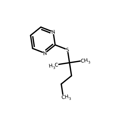 CCCC(C)(C)Sc1ncccn1